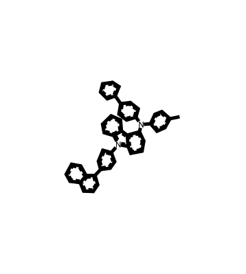 Cc1ccc(N(c2ccc(-c3ccccc3)cc2)c2cccc3c2c2ccccc2n3-c2ccc(-c3cccc4ccccc34)cc2)cc1